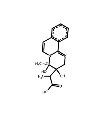 CC(C(=O)O)C1(O)CN=C2c3ccccc3C=CN2[C@]1(C)O